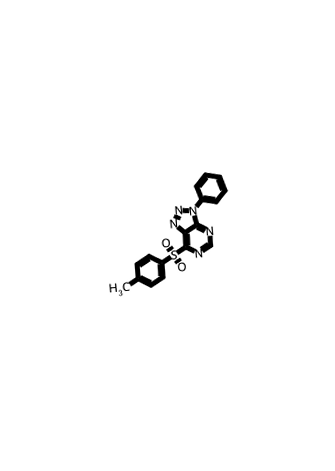 Cc1ccc(S(=O)(=O)c2ncnc3c2nnn3-c2ccccc2)cc1